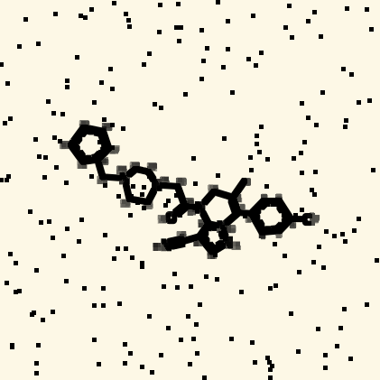 CC1=C(c2ccc(Cl)cc2)n2ncc(C#N)c2N(C(=O)CN2CCN(Cc3ccccc3)CC2)C1